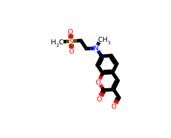 CN(CCS(C)(=O)=O)c1ccc2cc(C=O)c(=O)oc2c1